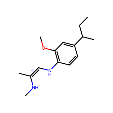 CCC(C)c1ccc(N/C=C(/C)NC)c(OC)c1